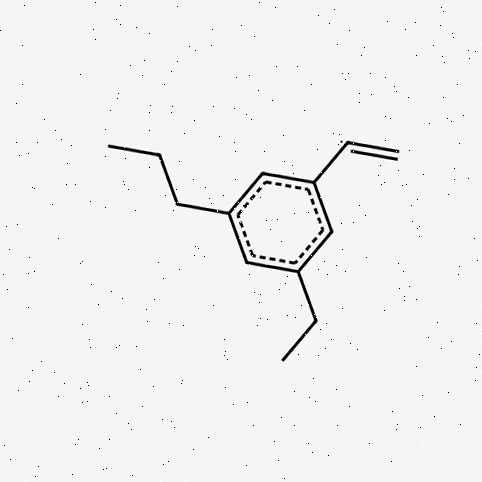 C=[C]c1cc(CC)cc(CCC)c1